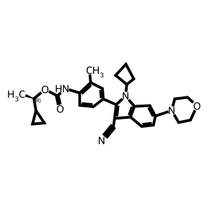 Cc1cc(-c2c(C#N)c3ccc(N4CCOCC4)cc3n2C2CCC2)ccc1NC(=O)O[C@H](C)C1CC1